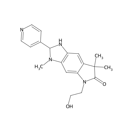 CN1c2cc3c(cc2NC1c1ccncc1)C(C)(C)C(=O)N3CCO